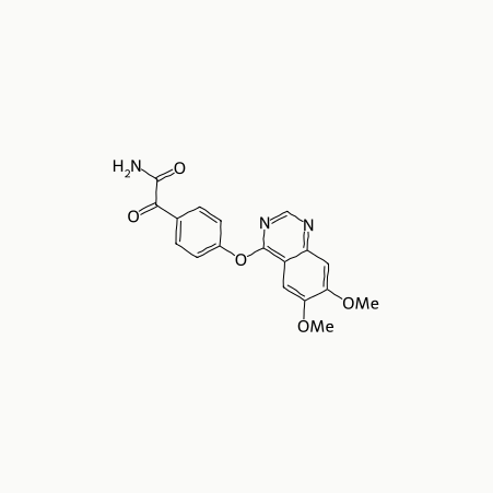 COc1cc2ncnc(Oc3ccc(C(=O)C(N)=O)cc3)c2cc1OC